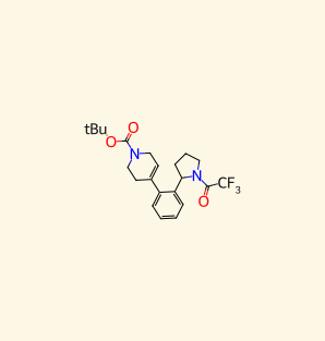 CC(C)(C)OC(=O)N1CC=C(c2ccccc2C2CCCN2C(=O)C(F)(F)F)CC1